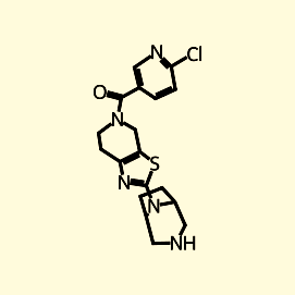 O=C(c1ccc(Cl)nc1)N1CCc2nc(N3C4CCC3CNC4)sc2C1